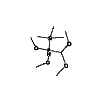 COC(OC)[PH](OC)(OC)[Si](C)(C)C